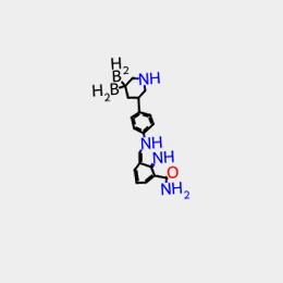 BC1(B)CNCC(c2ccc(N/C=C3/C=CC=C(C(N)=O)C3=N)cc2)C1